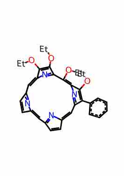 CCOC1=C2N=C(C=C3C=CC(=N3)C=C3C=CC(=N3)C=C3N=C1C(OCC)=C3OCC)C(c1ccccc1)=C2OCC